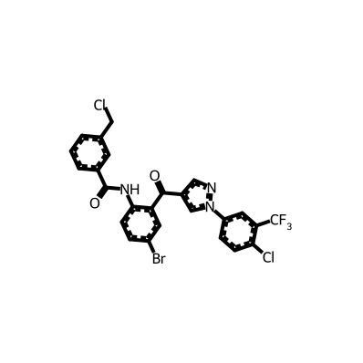 O=C(Nc1ccc(Br)cc1C(=O)c1cnn(-c2ccc(Cl)c(C(F)(F)F)c2)c1)c1cccc(CCl)c1